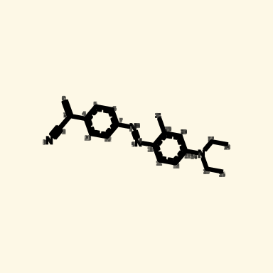 C=C(C#N)c1ccc(N=Nc2ccc(N(CC)CC)cc2C)cc1